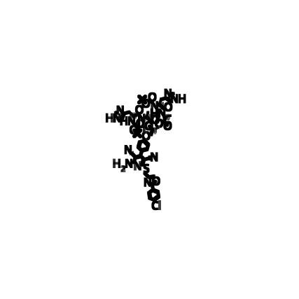 C[C@H](NC(=O)[C@H](Cc1c[nH]cn1)NC(=O)OC(C)(C)C)C(=O)OC[C@H](COc1ccc(-c2c(C#N)c(N)nc(SCc3coc(-c4ccc(Cl)cc4)n3)c2C#N)cc1)OC(=O)[C@H](C)NC(=O)[C@H](Cc1c[nH]cn1)NC(=O)OC(C)(C)C